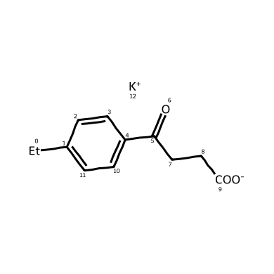 CCc1ccc(C(=O)CCC(=O)[O-])cc1.[K+]